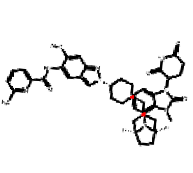 COc1cc2nn([C@H]3CC[C@H](CN4C[C@H]5CC[C@@H](C4)N5c4cccc5c4n(C)c(=O)n5C4CCC(=O)NC4=O)CC3)cc2cc1NC(=O)c1cccc(C(F)(F)F)n1